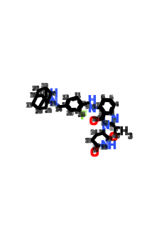 Cc1nc2cccc(NCc3ccc(CNC45CC6CC(CC(C6)C4)C5)cc3F)c2c(=O)n1C1CCC(=O)NC1=O